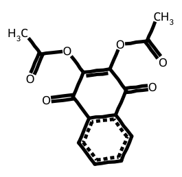 CC(=O)OC1=C(OC(C)=O)C(=O)c2ccccc2C1=O